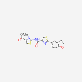 COC(=O)c1csc(NC(=O)c2csc(-c3ccc4c(c3)CCO4)n2)n1